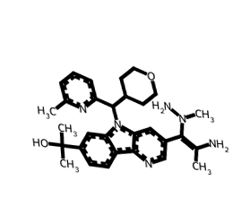 C/C(N)=C(\c1cnc2c3ccc(C(C)(C)O)cc3n(C(c3cccc(C)n3)C3CCOCC3)c2c1)N(C)N